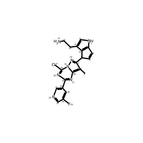 Cc1c(C2C=Cc3[nH]cc(CCN)c32)nn2c(Cl)nc(-c3cncc(F)c3)nc12